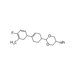 CCCC1COC(C2CC=C(C3C=CC(F)=C(C)C3)CC2)OC1